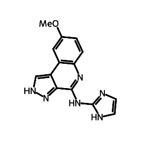 COc1ccc2nc(Nc3ncc[nH]3)c3n[nH]cc3c2c1